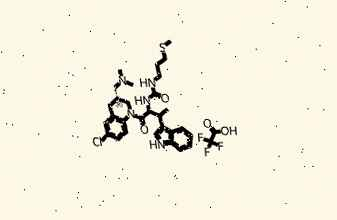 CSCCCNC(=O)NC(C(=O)N1C[C@@H](CN(C)C)Cc2cc(Cl)ccc21)C(C)c1c[nH]c2ccccc12.O=C(O)C(F)(F)F